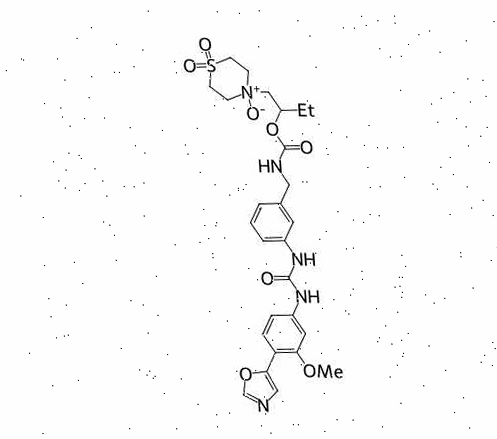 CCC(C[N+]1([O-])CCS(=O)(=O)CC1)OC(=O)NCc1cccc(NC(=O)Nc2ccc(-c3cnco3)c(OC)c2)c1